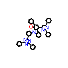 c1ccc(-c2cc(-c3cc4c5ccccc5oc4c4c3c3ccccc3n4-c3cccc(-c4nc(-c5ccccc5)nc(-c5ccccc5)n4)c3)nc(-c3ccccc3)n2)cc1